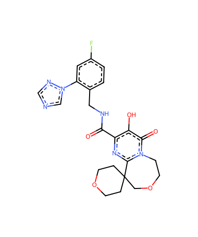 O=C(NCc1ccc(F)cc1-n1cncn1)c1nc2n(c(=O)c1O)CCOCC21CCOCC1